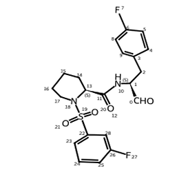 O=C[C@H](Cc1ccc(F)cc1)NC(=O)[C@@H]1CCCCN1S(=O)(=O)c1cccc(F)c1